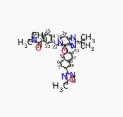 Cc1nc(-c2ccc3ccc(Cn4c(C(C)C)nc5ccn(Cc6cccc(C(=O)N(C)C)c6)c(=O)c54)cc3c2)no1